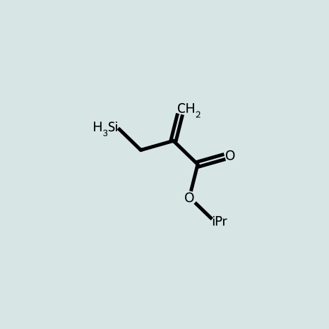 C=C(C[SiH3])C(=O)OC(C)C